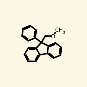 COCC1(c2ccccc2)c2ccccc2-c2ccccc21